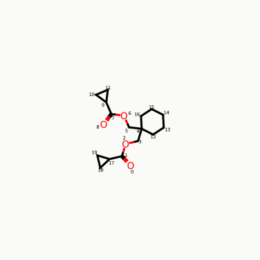 O=C(OCC1(COC(=O)C2CC2)CCCCC1)C1CC1